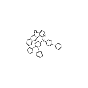 c1ccc(-c2ccc(N(c3ccc(-c4ccccc4)c(-c4ccccc4)c3)c3nccc4oc5cc6ccccc6cc5c34)cc2)cc1